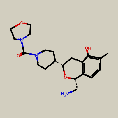 Cc1ccc2c(c1O)C[C@@H](C1CCN(C(=O)N3CCOCC3)CC1)O[C@H]2CN